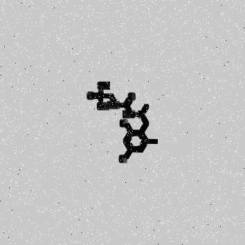 Cc1cc(Cl)cc(Cl)c1CN(C)NC(=O)NCP(=O)(O)O